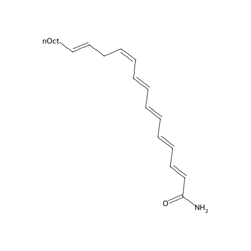 CCCCCCCCC=CC/C=C\C=CC=CC=CC=CC(N)=O